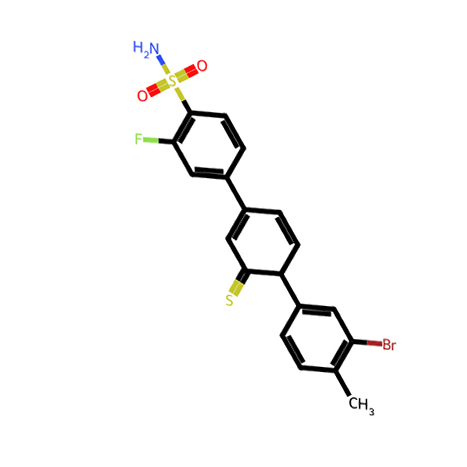 Cc1ccc(C2C=CC(c3ccc(S(N)(=O)=O)c(F)c3)=CC2=S)cc1Br